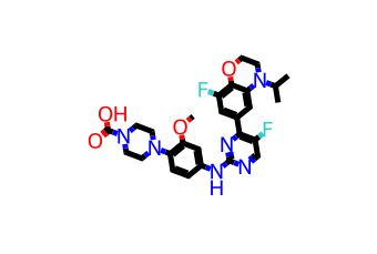 COc1cc(Nc2ncc(F)c(-c3cc(F)c4c(c3)N(C(C)C)CCO4)n2)ccc1N1CCN(C(=O)O)CC1